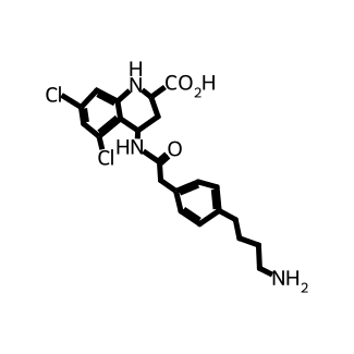 NCCCCc1ccc(CC(=O)NC2CC(C(=O)O)Nc3cc(Cl)cc(Cl)c32)cc1